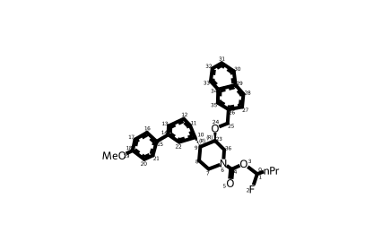 CCCC(F)OC(=O)N1CC[C@H](c2cccc(-c3ccc(OC)cc3)c2)[C@@H](OCc2ccc3ccccc3c2)C1